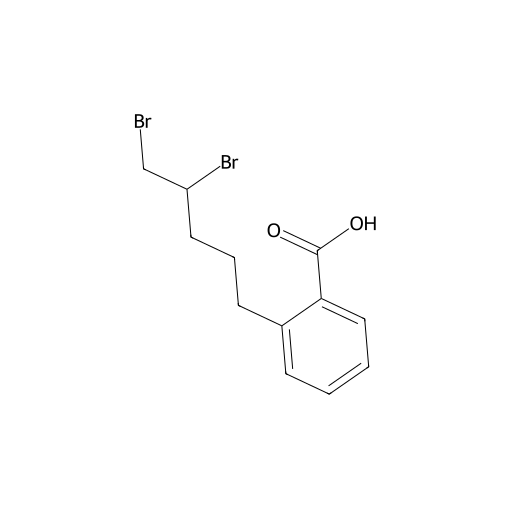 O=C(O)c1ccccc1CCCC(Br)CBr